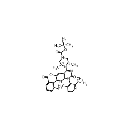 Cc1ccnc(C(C)C)c1-n1c(=O)nc(N2[C@@H](C)CN(C(=O)OC(C)(C)C)C[C@@H]2C)c2cc(Cl)c(-c3c(F)cccc3C=O)nc21